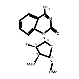 COC[C@H]1O[C@@H](n2c(=O)nc(N)c3ccccc32)[C@H](F)[C@@H]1OC